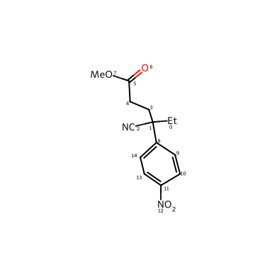 CCC(C#N)(CCC(=O)OC)c1ccc([N+](=O)[O-])cc1